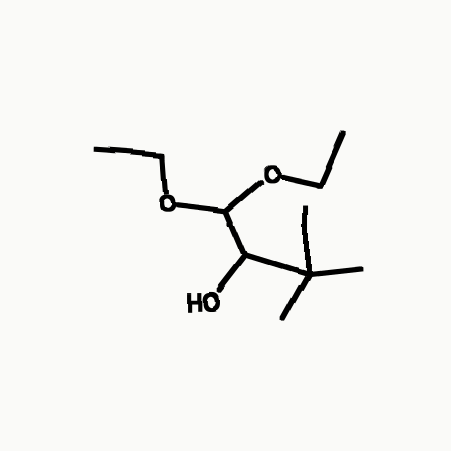 CCOC(OCC)C(O)C(C)(C)C